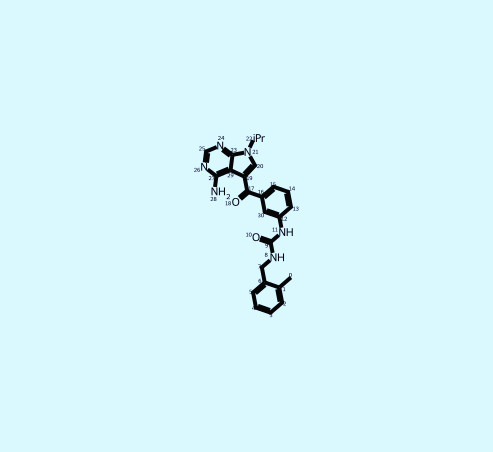 Cc1ccccc1CNC(=O)Nc1cccc(C(=O)c2cn(C(C)C)c3ncnc(N)c23)c1